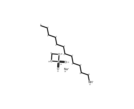 CCCCCCCCCCCC[NH-].O=S1(=O)OCO1.[Na+]